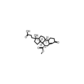 COC(=O)[C@@H]1CC2=CC(=O)CC[C@]2(C)[C@H]2CC[C@@]3(C)[C@@H](CC[C@]3(O)CCC(=O)O)[C@H]12